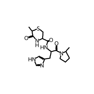 CC1SCC(C(=O)NC(Cc2c[nH]cn2)C(=O)N2CCCC2C)NC1=O